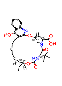 CC1[C@H]2CCCCCc3c(nc4ccccc4c3O)O[C@@H]3C[C@@H](C(=O)O)N(C3)C(=O)[C@H](C(C)(C)C)NC(=O)O[C@H]12